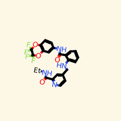 CCNC(=O)c1cc(CNc2ccccc2C(=O)Nc2ccc3c(c2)OC(F)(F)C(F)(F)O3)ccn1